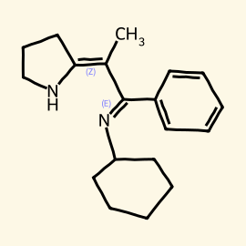 CC(=C1\CCCN1)/C(=N/C1CCCCC1)c1ccccc1